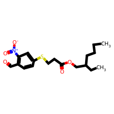 CCCCC(CC)COC(=O)CCSc1ccc(C=O)c([N+](=O)[O-])c1